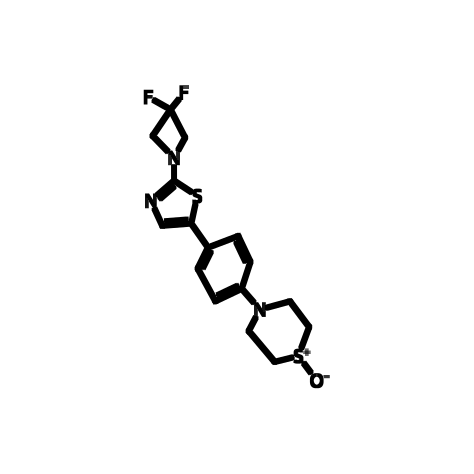 [O-][S+]1CCN(c2ccc(-c3cnc(N4CC(F)(F)C4)s3)cc2)CC1